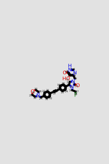 O=C1N(Cc2nc[nH]c(=O)c2O)CC(c2ccc(C#Cc3ccc(CN4CCOCC4)cc3)cc2)N1CCF